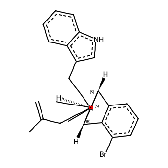 C=C(C)C[C@H]1[C@H]2c3c(Br)cccc3[C@H](CC2(C)C)N1Cc1c[nH]c2ccccc12